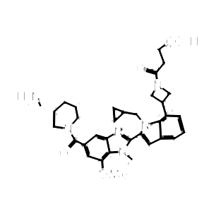 COc1cc(C(=O)N2CCC[C@@H](CN)C2)cc2nc(-c3cc4cccc(C5CN(C(=O)CCC(=O)O)C5)c4n3CC3CC3)n(C)c12